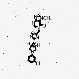 Cn1nnc2ncn(Cc3nc([C@@H]4[C@@H]5CN(c6cccc(Cl)c6)C[C@@H]54)no3)c(=O)c21